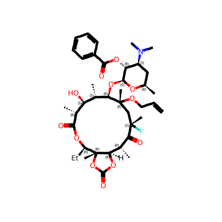 C=CCO[C@]1(C)C[C@](C)(F)C(=O)[C@H](C)[C@H]2OC(=O)O[C@]2(C)[C@@H](CC)OC(=O)[C@H](C)[C@@H](O)[C@H](C)[C@H]1O[C@@H]1O[C@H](C)C[C@H](N(C)C)[C@H]1OC(=O)c1ccccc1